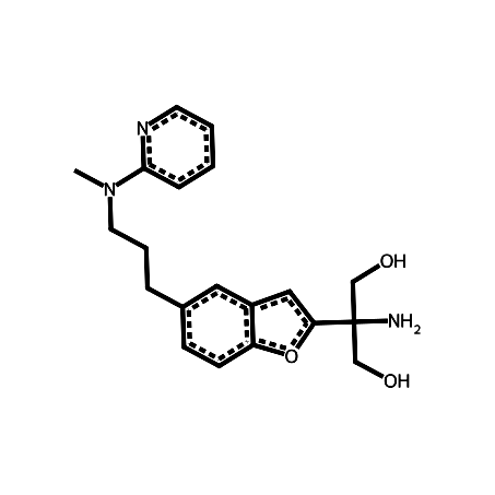 CN(CCCc1ccc2oc(C(N)(CO)CO)cc2c1)c1ccccn1